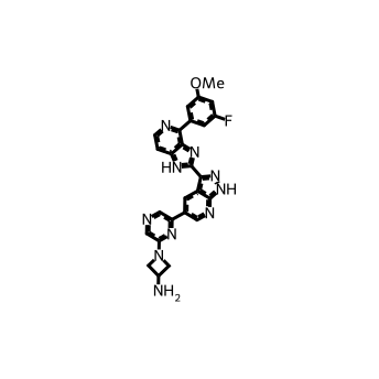 COc1cc(F)cc(-c2nccc3[nH]c(-c4n[nH]c5ncc(-c6cncc(N7CC(N)C7)n6)cc45)nc23)c1